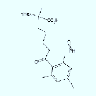 CCCCCCC(C)(CCCCC(=O)c1c(C)cc(C)cc1C)C(=O)O.O=P